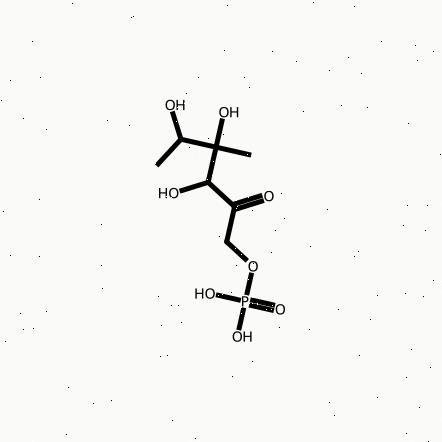 CC(O)C(C)(O)C(O)C(=O)COP(=O)(O)O